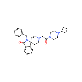 O=C(CN1C=CC2(CC1)c1ccccc1C(=O)N2Cc1ccccc1)N1CCN(C2CCC2)CC1